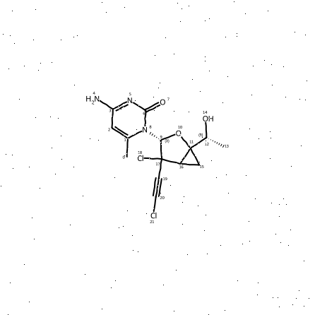 Cc1cc(N)nc(=O)n1[C@@H]1OC2([C@@H](C)O)CC2C1(Cl)C#CCl